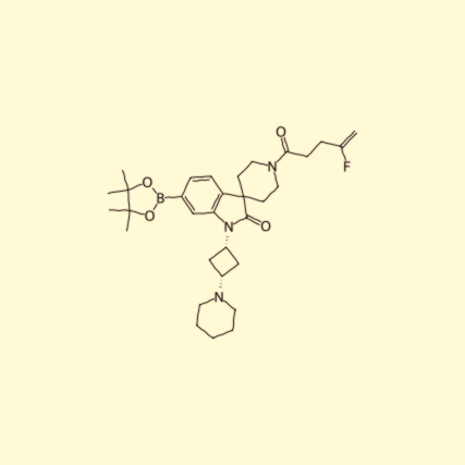 C=C(F)CCC(=O)N1CCC2(CC1)C(=O)N([C@H]1C[C@@H](N3CCCCC3)C1)c1cc(B3OC(C)(C)C(C)(C)O3)ccc12